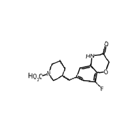 O=C1COc2c(F)cc(CC3CCCN(C(=O)O)C3)cc2N1